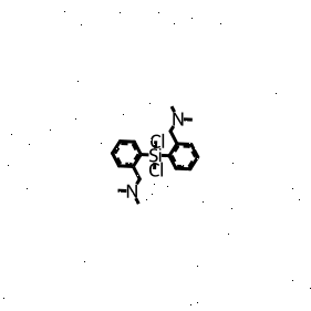 CN(C)Cc1ccccc1[Si](Cl)(Cl)c1ccccc1CN(C)C